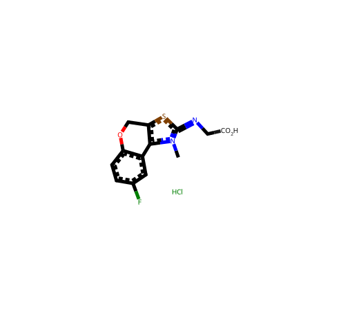 Cl.Cn1c2c(sc1=NCC(=O)O)COc1ccc(F)cc1-2